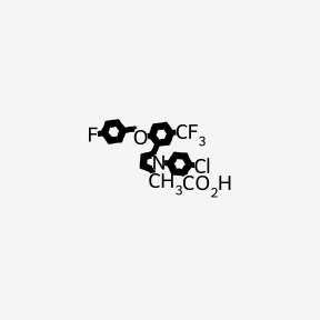 Cc1ccc(-c2cc(C(F)(F)F)ccc2OCc2ccc(F)cc2)n1-c1ccc(Cl)c(C(=O)O)c1